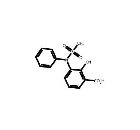 CS(=O)(=O)N(c1ccccc1)c1cccc(C(=O)O)c1C#N